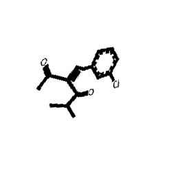 CC(=O)/C(=C/c1cccc(Cl)c1)C(=O)C(C)C